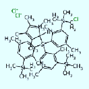 CC1=C(C)[C]([Ti+3])([Si](c2cc(C)cc([Si](C)(C)C)c2C)(c2cc(C)cc([Si](C)(C)C)c2C)c2cc(C)cc([Si](C)(C)C)c2C)C(C)=C1C.[Cl-].[Cl-].[Cl-]